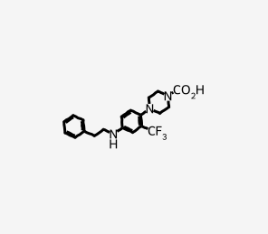 O=C(O)N1CCN(c2ccc(NCCc3ccccc3)cc2C(F)(F)F)CC1